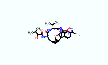 Cc1noc(-c2nc3oc2C24c5ccccc5NC2Oc2ccc(cc24)C[C@H](NC(=O)C(O)C(C)C)C(=O)N[C@H]3C(C)C)n1